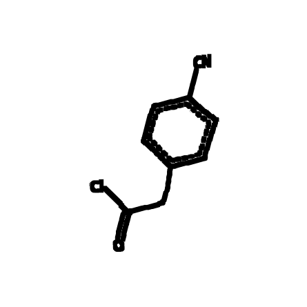 N#Cc1ccc(CC(=O)Cl)cc1